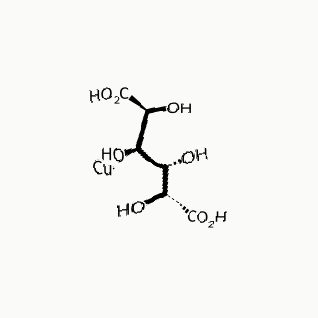 O=C(O)[C@@H](O)[C@H](O)[C@H](O)[C@@H](O)C(=O)O.[Cu]